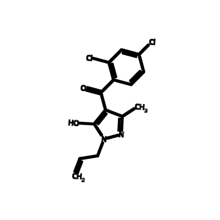 C=CCn1nc(C)c(C(=O)c2ccc(Cl)cc2Cl)c1O